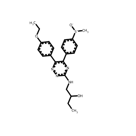 CCOc1ccc(-c2nnc(NCC(O)CC)nc2-c2ccc([S+](C)[O-])cc2)cc1